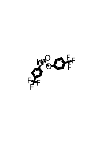 O=[PH](Oc1ccc(C(F)(F)F)cc1)Oc1ccc(C(F)(F)F)cc1